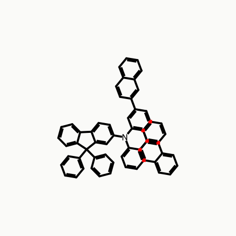 c1ccc(-c2ccccc2N(c2ccc3c(c2)C(c2ccccc2)(c2ccccc2)c2ccccc2-3)c2cc(-c3ccc4ccccc4c3)ccc2-c2ccc3ccccc3c2)cc1